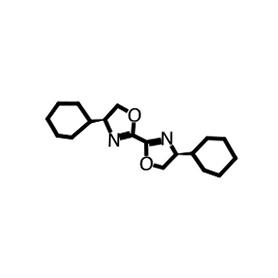 C1CCC([C@H]2COC(C3=N[C@@H](C4CCCCC4)CO3)=N2)CC1